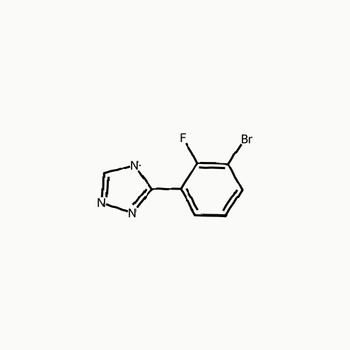 Fc1c(Br)cccc1C1=NN=C[N]1